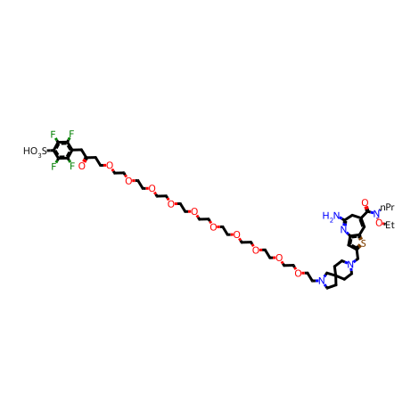 CCCN(OCC)C(=O)C1=Cc2sc(CN3CCC4(CC3)CCN(CCOCCOCCOCCOCCOCCOCCOCCOCCOCCOCCC(=O)Cc3c(F)c(F)c(S(=O)(=O)O)c(F)c3F)C4)cc2N=C(N)C1